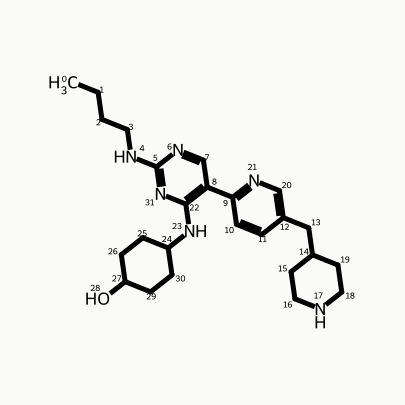 CCCCNc1ncc(-c2ccc(CC3CCNCC3)cn2)c(NC2CCC(O)CC2)n1